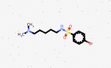 CN(C)CCCCCNS(=O)(=O)c1ccc(Br)cc1